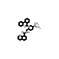 CN(C)C1CCC(CNC(=O)c2cccc3cccnc23)N(C(=O)c2ccccc2-c2ccccc2)C1